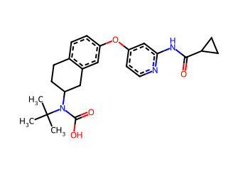 CC(C)(C)N(C(=O)O)C1CCc2ccc(Oc3ccnc(NC(=O)C4CC4)c3)cc2C1